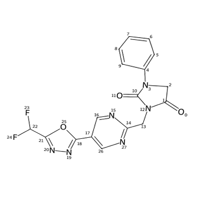 O=C1CN(c2ccccc2)C(=O)N1Cc1ncc(-c2nnc(C(F)F)o2)cn1